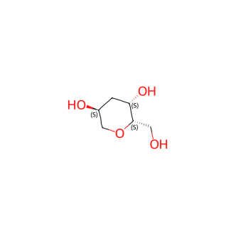 OC[C@@H]1OC[C@@H](O)C[C@@H]1O